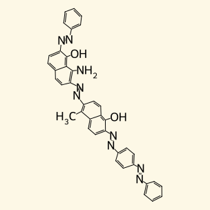 Cc1c(N=Nc2ccc3ccc(N=Nc4ccccc4)c(O)c3c2N)ccc2c(O)c(N=Nc3ccc(N=Nc4ccccc4)cc3)ccc12